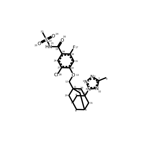 Cc1nnn(C23CC4CC(CC(COc5cc(F)c(C(=O)NS(C)(=O)=O)cc5Cl)(C4)C2)C3)n1